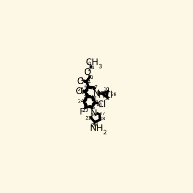 CCOCC(=O)c1cn(C2CC2)c2c(Cl)c(N3CC[C@@H](N)C3)c(F)cc2c1=O.Cl